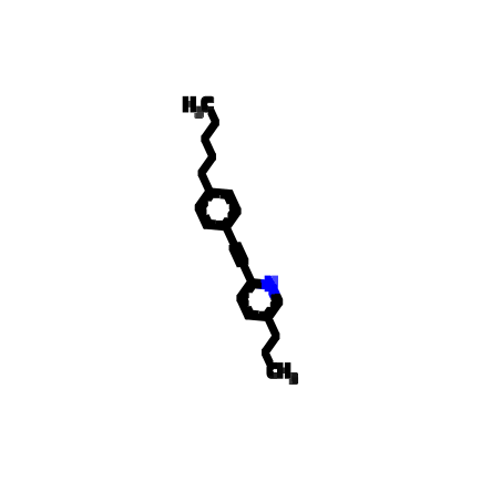 CCCCCc1ccc(C#Cc2ccc(CCC)cn2)cc1